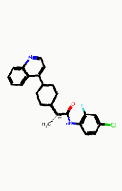 C[C@@H](C(=O)Nc1ccc(Cl)cc1F)C1CCC(c2ccnc3ccccc23)CC1